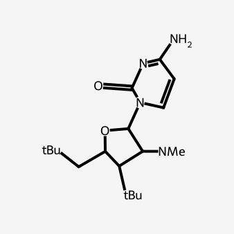 CNC1C(n2ccc(N)nc2=O)OC(CC(C)(C)C)C1C(C)(C)C